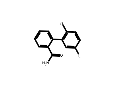 NC(=O)c1ccccc1-c1cc(Cl)ccc1Cl